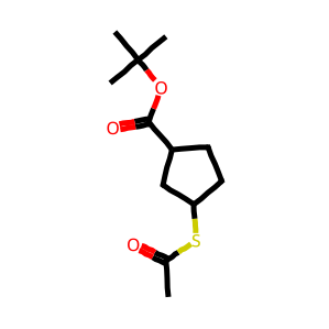 CC(=O)SC1CCC(C(=O)OC(C)(C)C)C1